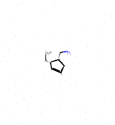 CCOC(=O)C[C@H]1C=CC[C@H]1CN